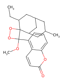 CCC1CC2CC(C)CC(C2)C12OOC2(OC)c1cccc2oc(=O)ccc12